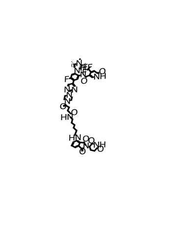 C[C@@H]1CN(c2cc(F)c(-c3cnc(N4CCN(C(=O)CCC(=O)NCCCCCCNc5cccc6c5C(=O)N(C5CCC(=O)NC5=O)C6=O)CC4)nc3)cc2NC(=O)c2c[nH]c(=O)cc2C(F)(F)F)C[C@H](C)N1C